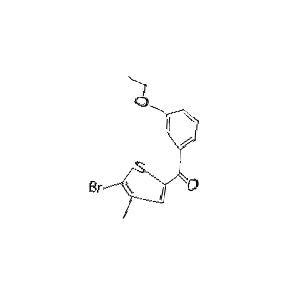 CCOc1cccc(C(=O)c2cc(C)c(Br)s2)c1